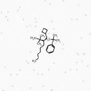 CC(C)(C)c1ccccc1.CCCCCCC(CC1CCC1)C(C)(C)C